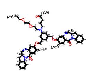 COCCOCCOCCN(CCCC(=O)OC)c1cc(COc2cc3c(cc2OC)C(=O)N2c4ccccc4C[C@H]2C=N3)cc(COc2cc3c(cc2OC)C(=O)N2c4ccccc4C[C@H]2C=N3)c1